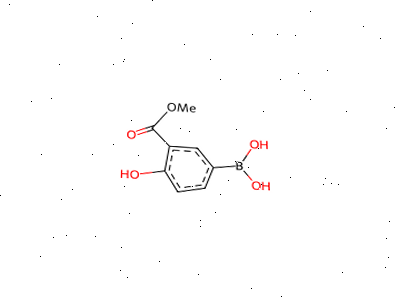 COC(=O)c1cc(B(O)O)ccc1O